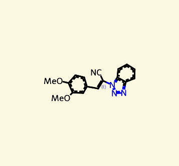 COc1ccc(/C=C(\C#N)n2nnc3ccccc32)cc1OC